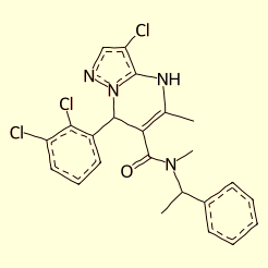 CC1=C(C(=O)N(C)C(C)c2ccccc2)C(c2cccc(Cl)c2Cl)n2ncc(Cl)c2N1